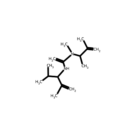 C=C(C)C(NC(=C)N(C)C(C)C(=C)C)C(C)C